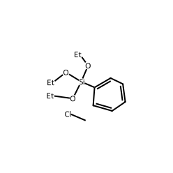 CCO[Si](OCC)(OCC)c1ccccc1.CCl